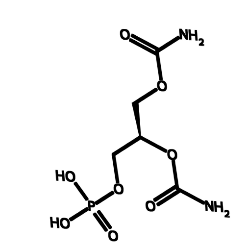 NC(=O)OC[C@H](COP(=O)(O)O)OC(N)=O